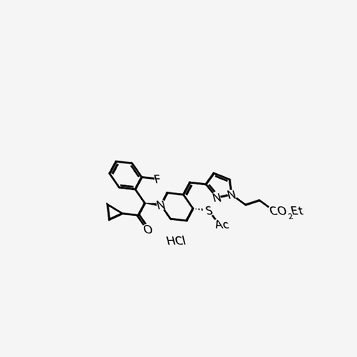 CCOC(=O)CCn1ccc(/C=C2/CN([C@@H](C(=O)C3CC3)c3ccccc3F)CC[C@H]2SC(C)=O)n1.Cl